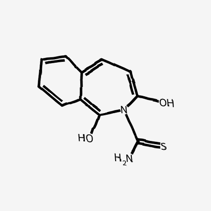 NC(=S)N1C(O)=CC=c2ccccc2=C1O